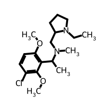 CCN1CCCC1CN(C)C(C)c1c(OC)ccc(Cl)c1OC